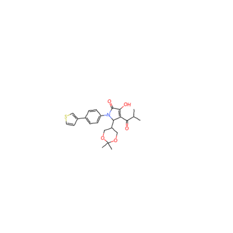 CC(C)C(=O)C1=C(O)C(=O)N(c2ccc(-c3ccsc3)cc2)C1C1COC(C)(C)OC1